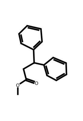 COC(=O)C[C](c1ccccc1)c1ccccc1